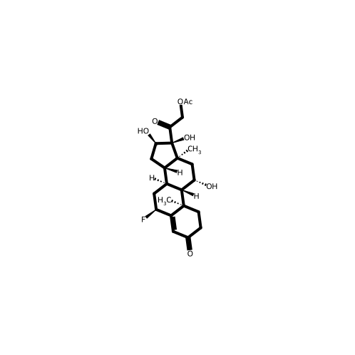 CC(=O)OCC(=O)[C@@]1(O)[C@H](O)C[C@H]2[C@@H]3C[C@H](F)C4=CC(=O)CC[C@]4(C)[C@H]3[C@@H](O)C[C@@]21C